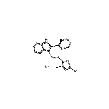 C[n+]1cc(Br)sc1/N=N/c1c(-c2ccccc2)[nH]c2ccccc12.[Br-]